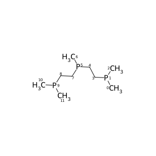 CP(C)CCP(C)CCP(C)C